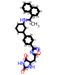 C[C@@H](NC1CCCC(c2ccc(-c3noc(CC4NC(=O)NC4=O)n3)cc2)C1)c1cccc2ccccc12